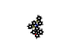 c1ccc(C2(c3ccccc3)c3ccccc3-c3cc(N(c4cccc5c4sc4ccccc45)c4cccc5c4sc4ccccc45)ccc32)cc1